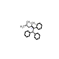 C/C(CN(C)C)=C(/B(c1ccccc1)c1ccccc1)c1ccccc1